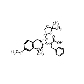 COc1ccc(CN2C(=O)[C@@H](N(Cc3ccccc3)C(=O)O)[C@H]2[C@@H]2COC(C)(C)O2)c(OC)c1